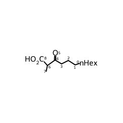 CCCCCCCCCC(=O)C(C)C(=O)O